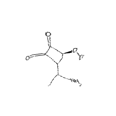 [CH2]C(N)C1C(=O)C(=O)[C@H]1OCC